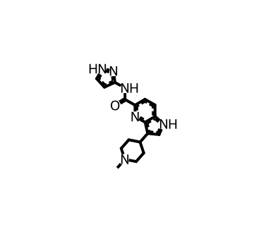 CN1CCC(c2c[nH]c3ccc(C(=O)Nc4cc[nH]n4)nc23)CC1